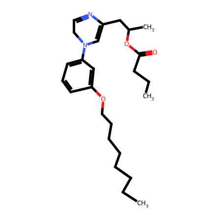 CCCCCCCCOc1cccc(N2C=C(CC(C)OC(=O)CCC)N=CC2)c1